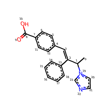 CC(/C(=C/c1ccc(C(=O)O)cc1)c1ccccc1)n1ccnc1